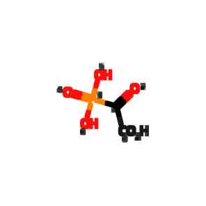 O=C(O)C(=O)P(=O)(O)O